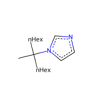 CCCCCCC(C)(CCCCCC)n1ccnc1